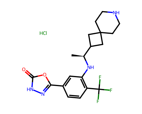 C[C@H](Nc1cc(-c2n[nH]c(=O)o2)ccc1C(F)(F)F)C1CC2(CCNCC2)C1.Cl